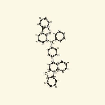 c1ccc(N(c2ccc(-c3cc4oc5ccccc5c4c4ccccc34)cc2)c2cccc3c2oc2ccccc23)cc1